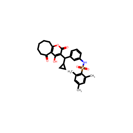 Cc1cc(C)c(S(=O)(=O)Nc2cccc(C(c3c(O)c4c(oc3=O)CCCCCC4=O)C3CC3)c2)c(C)c1